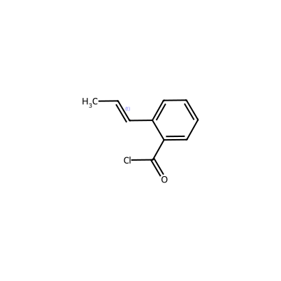 C/C=C/c1ccccc1C(=O)Cl